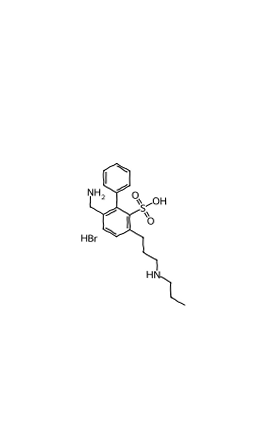 Br.CCCNCCCc1ccc(CN)c(-c2ccccc2)c1S(=O)(=O)O